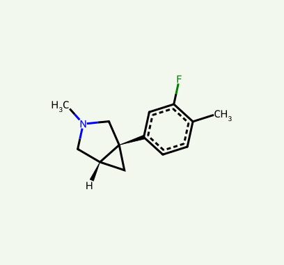 Cc1ccc([C@@]23C[C@@H]2CN(C)C3)cc1F